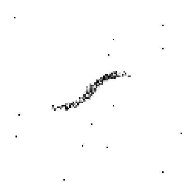 CC(=O)OCOCCOCCOCc1ccc(C(C)(C)c2ccc(COCCOCCOCOC(C)=O)cc2)cc1